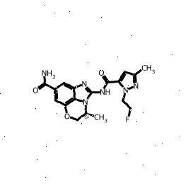 Cc1cc(C(=O)Nc2nc3cc(C(N)=O)cc4c3n2[C@@H](C)CO4)n(CCF)n1